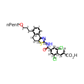 CCCCCOCCCc1cccc2c1CCc1sc(NC(=O)c3cc(Cl)c(C=C(C)C(=O)O)c(Cl)c3)nc1-2